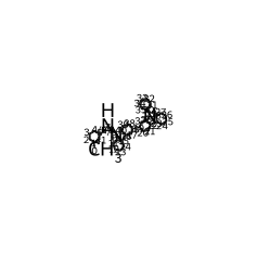 Cc1cccc([C@H]2NC2n2c3ccccc3c3cc(-c4ccc5c6ccccc6n(-c6ccccc6)c5c4)ccc32)c1